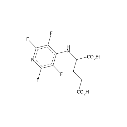 CCOC(=O)C(CCC(=O)O)Nc1c(F)c(F)nc(F)c1F